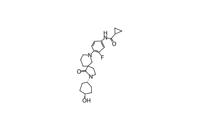 O=C(Nc1ccc(N2CCCC3(CCN([C@H]4CC[C@H](O)CC4)C3=O)C2)c(F)c1)C1CC1